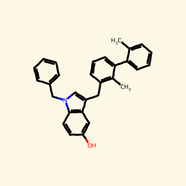 Cc1ccccc1-c1cccc(Cc2cn(Cc3ccccc3)c3ccc(O)cc23)c1C